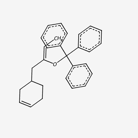 CC=C(CC1CC=CCC1)OC(c1ccccc1)(c1ccccc1)c1ccccc1